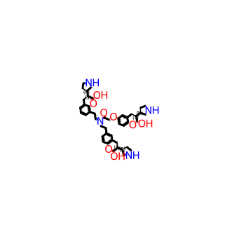 O=C(O)[C@@H](Cc1cccc(CCN(CCc2cccc(C[C@H](C(=O)O)[C@H]3CCNC3)c2)C(=O)COc2cccc(C[C@H](C(=O)O)[C@H]3CCNC3)c2)c1)[C@H]1CCNC1